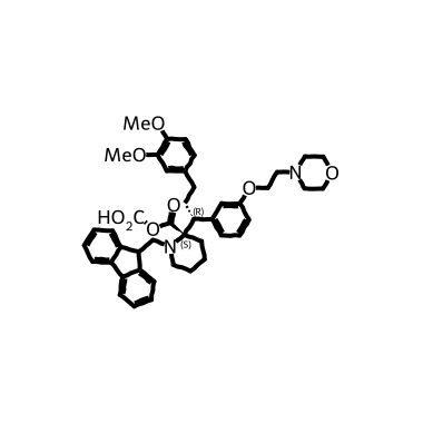 COc1ccc(CC[C@H](c2cccc(OCCN3CCOCC3)c2)[C@]2(C(=O)OC(=O)O)CCCCN2CC2c3ccccc3-c3ccccc32)cc1OC